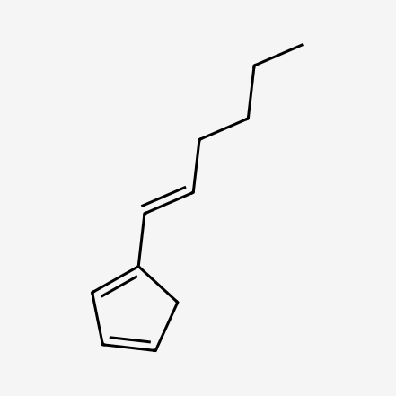 CCCCC=CC1=CC=CC1